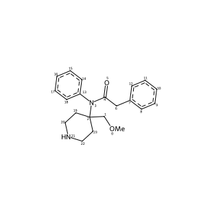 COCC1(N(C(=O)Cc2ccccc2)c2ccccc2)CCNCC1